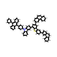 c1ccc(-c2c3ccccc3c(-c3ccc(-n4c5ccccc5c5cc(-c6cc(-c7ccc8ccc9ccccc9c8c7)cc7c6sc6ccc(-c8ccc9ccc%10ccccc%10c9c8)cc67)ccc54)cc3)c3ccccc23)cc1